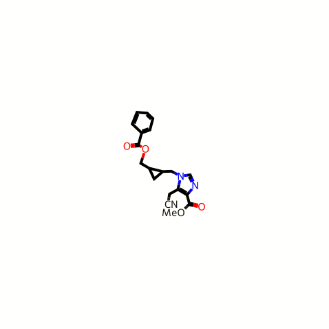 COC(=O)c1ncn(CC2CC2COC(=O)c2ccccc2)c1CC#N